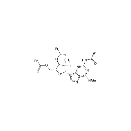 CNc1nc(NC(=O)C(C)C)nc2c1ncn2[C@@H]1O[C@H](COC(=O)C(C)C)[C@@H](OC(=O)C(C)C)[C@@]1(C)F